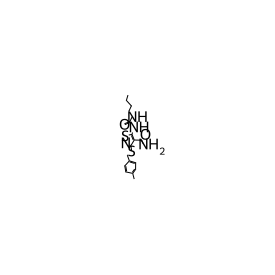 CCCCNC(=O)Nc1snc(SCc2ccc(C)cc2)c1C(N)=O